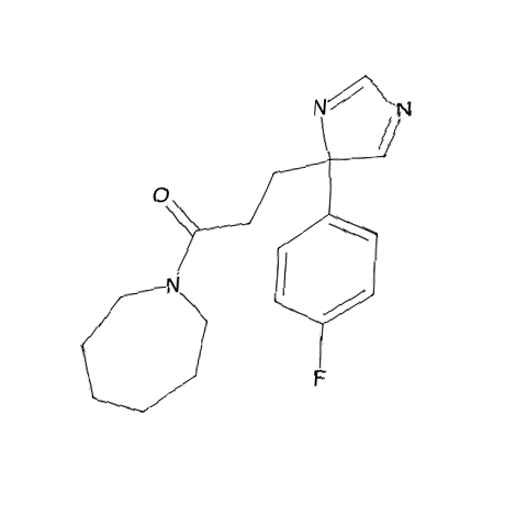 O=C(CCC1(c2ccc(F)cc2)C=NC=N1)N1CCCCCC1